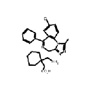 Cc1nnc2n1-c1ccc(Cl)cc1C(c1ccccc1)=NC2.NCC1(CC(=O)O)CCCCC1